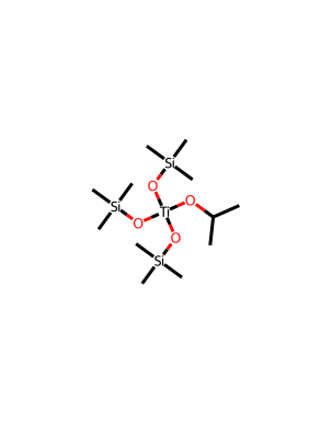 CC(C)[O][Ti]([O][Si](C)(C)C)([O][Si](C)(C)C)[O][Si](C)(C)C